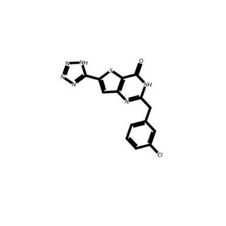 O=c1[nH]c(Cc2cccc(Cl)c2)nc2cc(-c3nnn[nH]3)sc12